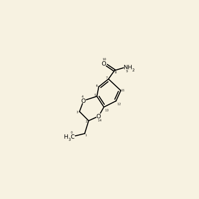 CCC1COc2cc(C(N)=O)ccc2O1